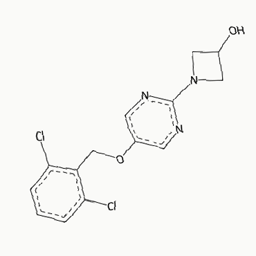 OC1CN(c2ncc(OCc3c(Cl)cccc3Cl)cn2)C1